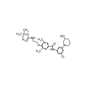 Cc1cc(C(=O)Nc2cc(Cl)cc(N3CCCC(O)C3)c2)cc(C)c1OCCNC(=O)OC(C)(C)C